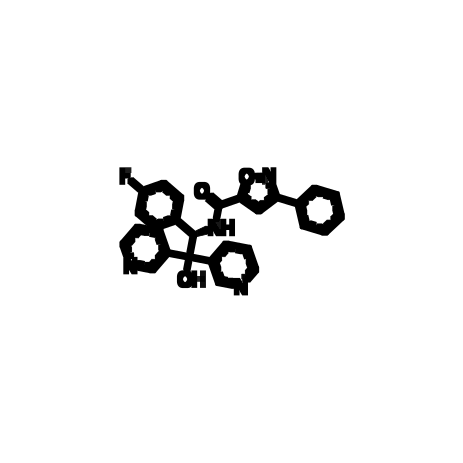 O=C(N[C@H](c1ccc(F)cc1)C(O)(c1cccnc1)c1cccnc1)c1cc(-c2ccccc2)no1